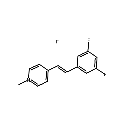 C[n+]1ccc(/C=C/c2cc(F)cc(F)c2)cc1.[I-]